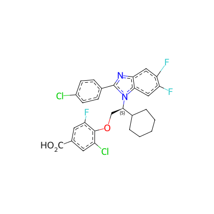 O=C(O)c1cc(F)c(OC[C@H](C2CCCCC2)n2c(-c3ccc(Cl)cc3)nc3cc(F)c(F)cc32)c(Cl)c1